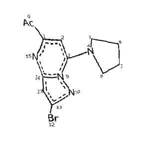 CC(=O)c1cc(N2CCCC2)n2nc(Br)cc2n1